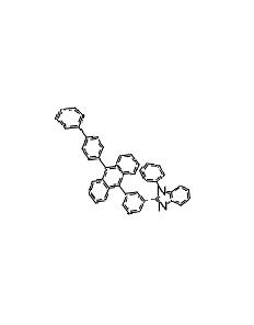 c1ccc(-c2ccc(-c3c4ccccc4c(-c4cccc(-c5nc6ccccc6n5-c5ccccc5)c4)c4ccccc34)cc2)cc1